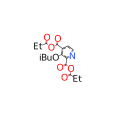 CCC(=O)OC(=O)c1ccnc(C(=O)OC(=O)CC)c1OCC(C)C